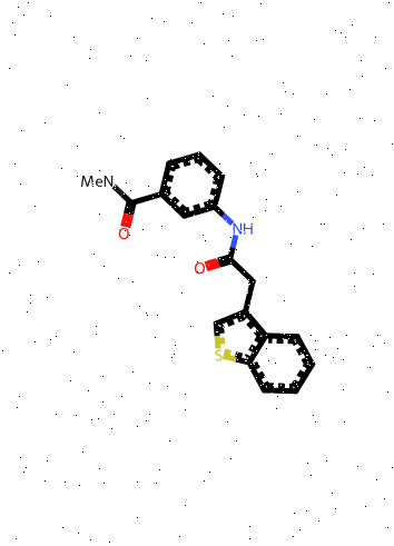 CNC(=O)c1cccc(NC(=O)Cc2csc3ccccc23)c1